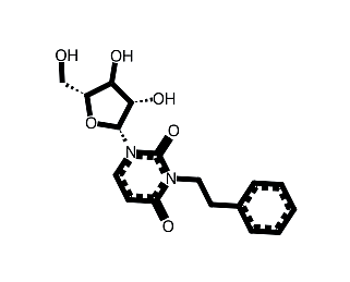 O=c1ccn([C@@H]2O[C@H](CO)C(O)[C@@H]2O)c(=O)n1CCc1ccccc1